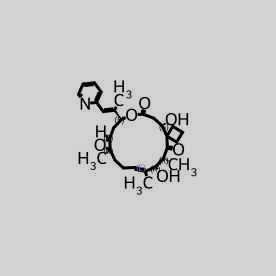 CC(=Cc1ccccn1)[C@@H]1C[C@H]2O[C@]2(C)CC/C=C(\C)[C@H](O)[C@@H](C)C(=O)C2(CCC2)[C@@H](O)CC(=O)O1